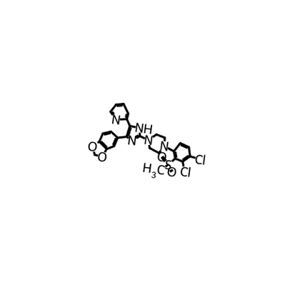 CS(=O)(=O)c1c(N2CCN(c3nc(-c4ccc5c(c4)OCO5)c(-c4ccccn4)[nH]3)CC2)ccc(Cl)c1Cl